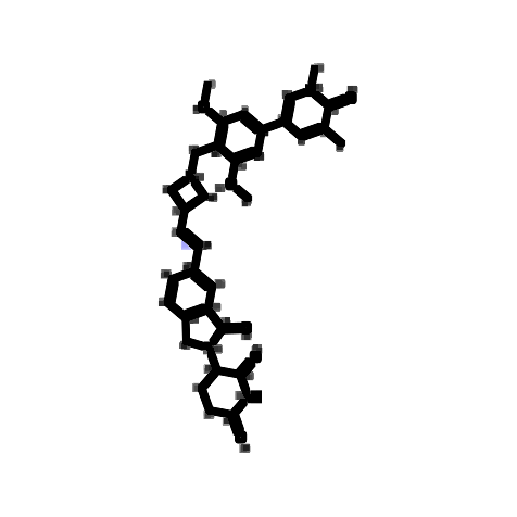 COc1cc(-c2cc(C)c(=O)n(C)c2)cc(OC)c1CN1CC(/C=C/c2ccc3c(c2)C(=O)N(C2CCC(=O)NC2=O)C3)C1